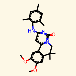 COc1cc2c(cc1OC)C(C)(C)Cn1c-2cc(Nc2c(C)cc(C)cc2C)nc1=O